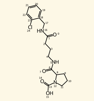 O=C(CCCNC(=O)C1CCCN1C(=O)O)NCc1ccccc1Cl